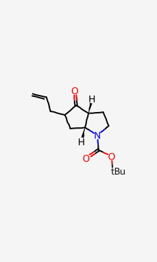 C=CCC1C[C@@H]2[C@@H](CCN2C(=O)OC(C)(C)C)C1=O